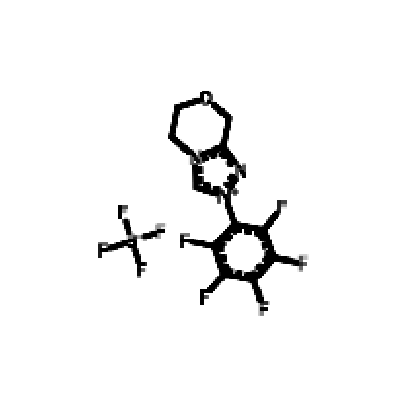 F[B-](F)(F)F.Fc1c(F)c(F)c(-[n+]2cn3c(n2)COCC3)c(F)c1F